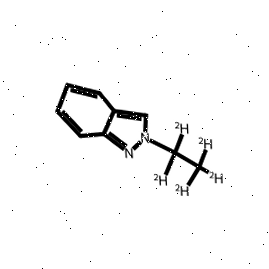 [2H]C([2H])([2H])C([2H])([2H])n1cc2ccccc2n1